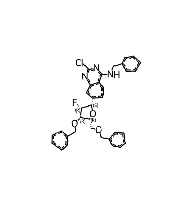 F[C@H]1[C@H](OCc2ccccc2)[C@@H](COCc2ccccc2)O[C@H]1c1ccc2c(NCc3ccccc3)nc(Cl)nc2c1